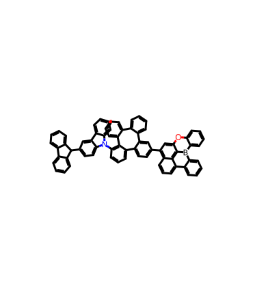 c1ccc2c(c1)Oc1cc(-c3ccc4c(c3)-c3ccccc3-c3ccccc3-c3c-4cccc3-n3c4ccccc4c4cc(C5c6ccccc6-c6ccccc65)ccc43)c3cccc4c3c1B2c1ccccc1-4